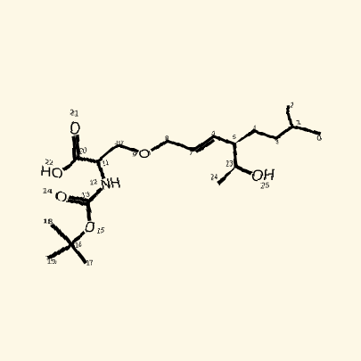 CC(C)CC[C@H](C=CCOCC(NC(=O)OC(C)(C)C)C(=O)O)[C@H](C)O